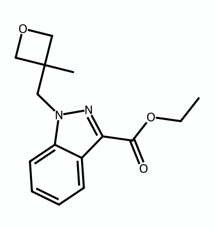 CCOC(=O)c1nn(CC2(C)COC2)c2ccccc12